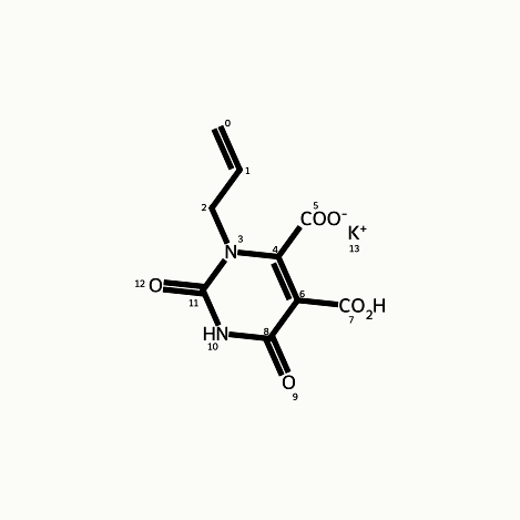 C=CCn1c(C(=O)[O-])c(C(=O)O)c(=O)[nH]c1=O.[K+]